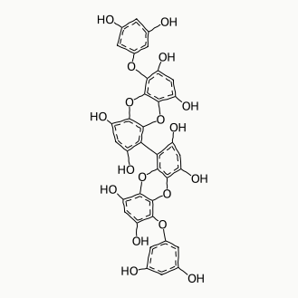 Oc1cc(O)cc(Oc2c(O)cc(O)c3c2Oc2c(O)cc(O)c(-c4c(O)cc(O)c5c4Oc4c(O)cc(O)c(Oc6cc(O)cc(O)c6)c4O5)c2O3)c1